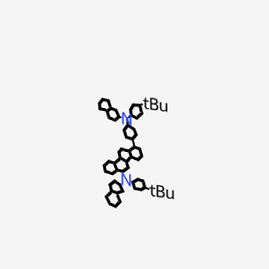 CC(C)(C)c1ccc(N(c2ccc(-c3cccc4c3ccc3c5ccccc5c(N(c5ccc(C(C)(C)C)cc5)c5ccc6ccccc6c5)cc43)cc2)c2ccc3ccccc3c2)cc1